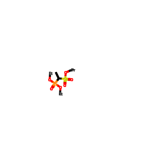 CCOP(=O)(OCC)C(C)S(=O)(=O)OC(C)C